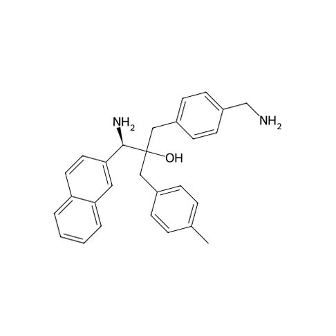 Cc1ccc(CC(O)(Cc2ccc(CN)cc2)[C@H](N)c2ccc3ccccc3c2)cc1